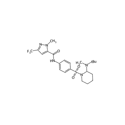 CN(C1CCCCN1S(=O)(=O)c1ccc(NC(=O)c2cc(C(F)(F)F)nn2C)cc1)C(C)(C)C